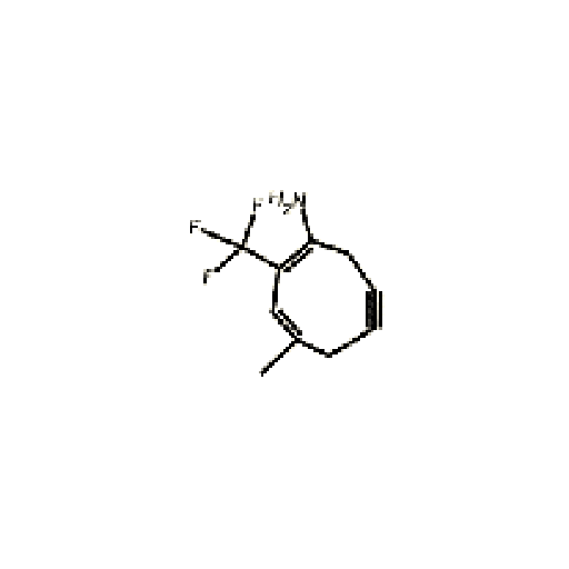 C/C1=C/C(C(F)(F)F)=C(/N)CC#CC1